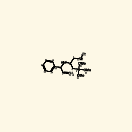 C=CC(NC(CNCC)C[Si](OC)(OC)OC)c1ccccc1